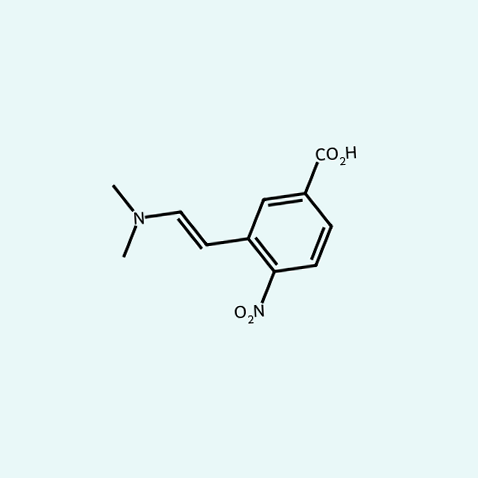 CN(C)/C=C/c1cc(C(=O)O)ccc1[N+](=O)[O-]